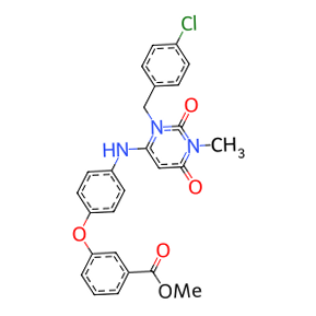 COC(=O)c1cccc(Oc2ccc(Nc3cc(=O)n(C)c(=O)n3Cc3ccc(Cl)cc3)cc2)c1